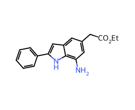 CCOC(=O)Cc1cc(N)c2[nH]c(-c3ccccc3)cc2c1